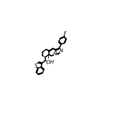 C[C@]12Cn3cnc(-c4ccc(F)cc4)c3C=C1CCC[C@@H]2[C@@H](O)c1csc2ccccc12